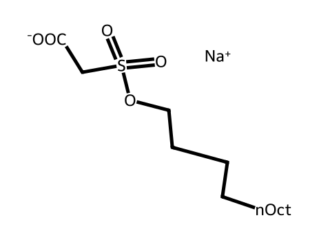 CCCCCCCCCCCCOS(=O)(=O)CC(=O)[O-].[Na+]